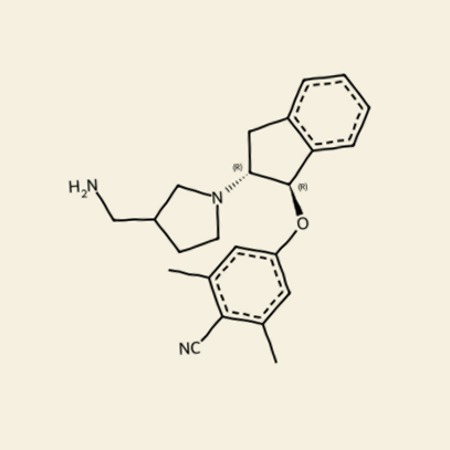 Cc1cc(O[C@@H]2c3ccccc3C[C@H]2N2CCC(CN)C2)cc(C)c1C#N